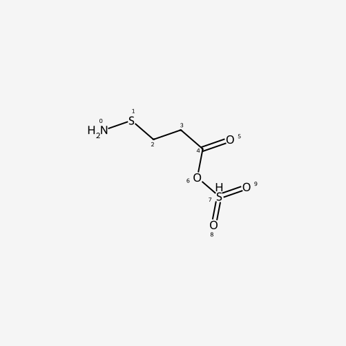 NSCCC(=O)O[SH](=O)=O